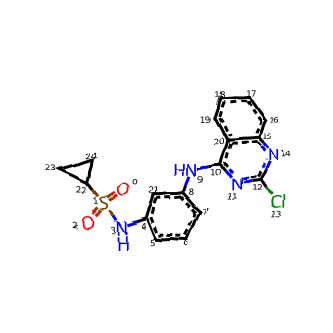 O=S(=O)(Nc1cccc(Nc2nc(Cl)nc3ccccc23)c1)C1CC1